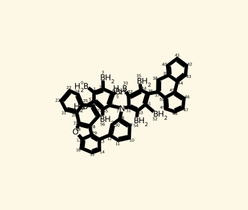 Bc1c(B)c(B)c(N(c2cccc(-c3cccc4oc5c6ccccc6ccc5c34)c2)c2c(B)c(B)c(-c3cc4ccccc4c4ccccc34)c(B)c2B)c(B)c1B